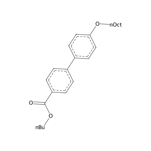 CCCCCCCCOc1ccc(-c2ccc(C(=O)OCCCC)cc2)cc1